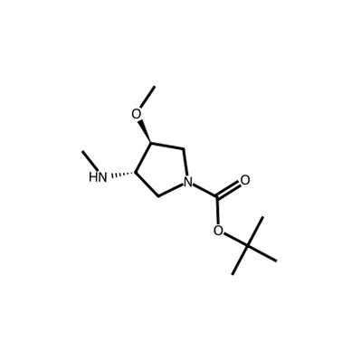 CN[C@H]1CN(C(=O)OC(C)(C)C)C[C@@H]1OC